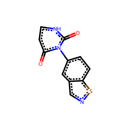 O=c1cc[nH]c(=O)n1-c1ccc2sncc2c1